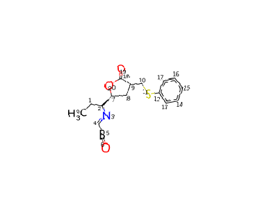 CCC(/N=C/B=O)[C@@H]1CC(CSc2ccccc2)C(=O)O1